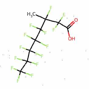 CC(F)(C(F)(F)C(=O)O)C(F)(F)C(F)(F)C(F)(F)C(F)(F)C(F)(F)F